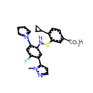 Cn1nccc1-c1cc(NSc2cc(C(=O)O)ccc2C2CC2)c(-n2cccc2)cc1F